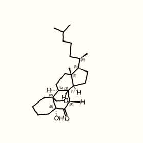 CC(C)CCC[C@@H](C)[C@H]1CC[C@H]2[C@@H]3[C@H]4OC[C@@]5(CCCC[C@]5(O)C4=O)[C@H]3CC[C@]12C